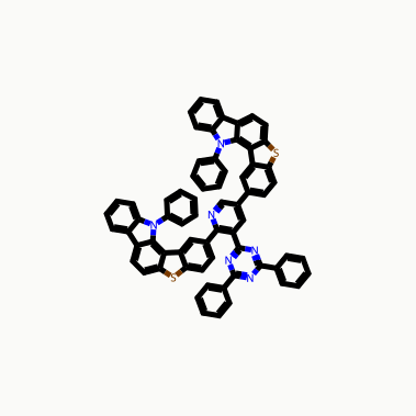 c1ccc(-c2nc(-c3ccccc3)nc(-c3cc(-c4ccc5sc6ccc7c8ccccc8n(-c8ccccc8)c7c6c5c4)cnc3-c3ccc4sc5ccc6c7ccccc7n(-c7ccccc7)c6c5c4c3)n2)cc1